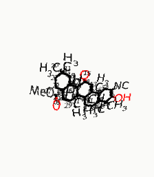 [C-]#[N+]C1=C(O)C(C)(C)[C@@H]2CC[C@]3(C)C(=CC(=O)[C@@H]4[C@@H]5CC(C)(C)CC[C@]5(C(=O)OC)CC[C@]43C)[C@@]2(C)C1